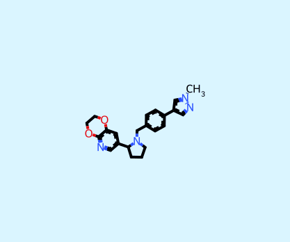 Cn1cc(-c2ccc(CN3CCCC3c3cnc4c(c3)OCCO4)cc2)cn1